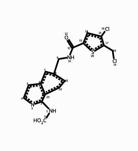 O=C(O)Nc1nccc2cc(CNC(=O)c3cc(Cl)c(CCl)s3)ccc12